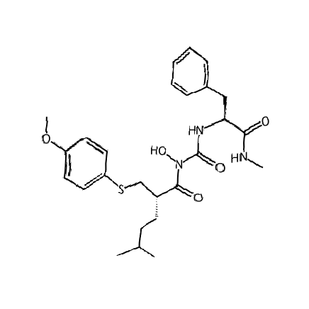 CNC(=O)[C@H](Cc1ccccc1)NC(=O)N(O)C(=O)[C@H](CCC(C)C)CSc1ccc(OC)cc1